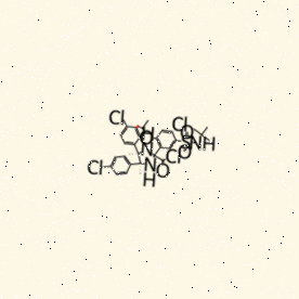 CC(C)Oc1cc(Cl)c(S(=O)(=O)NC(C)(C)C)cc1C1(C(=O)Cl)N[C@@](C)(c2ccc(Cl)cc2)[C@@](C)(c2ccc(Cl)cc2)N1